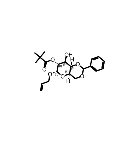 C=CCO[C@H]1O[C@@H]2COC(c3ccccc3)O[C@H]2[C@H](O)[C@H]1OC(=O)C(C)(C)C